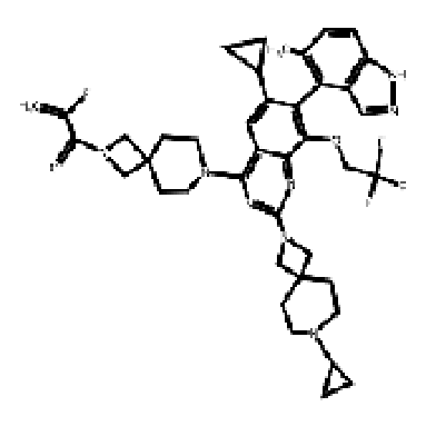 C=C(F)C(=O)N1CC2(CCN(c3nc(N4CC5(CCN(C6CC6)CC5)C4)nc4c(OCC(F)(F)F)c(-c5c(C)ccc6[nH]ncc56)c(C5CC5)cc34)CC2)C1